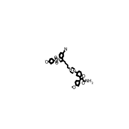 COc1ccc(-c2c(C(N)=O)oc3ccc(N4CCN(CCCCc5cn(S(=O)(=O)c6ccc(OC)cc6)c6ccc(C#N)cc56)CC4)cc23)cc1